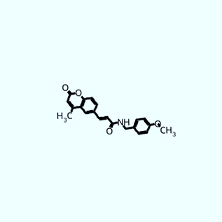 COc1ccc(CNC(=O)/C=C/c2ccc3oc(=O)cc(C)c3c2)cc1